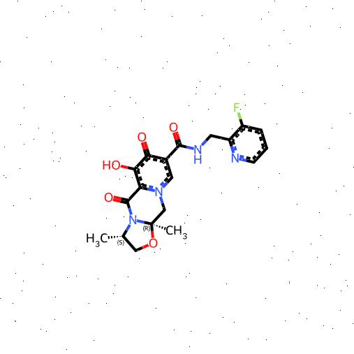 C[C@H]1CO[C@]2(C)Cn3cc(C(=O)NCc4ncccc4F)c(=O)c(O)c3C(=O)N12